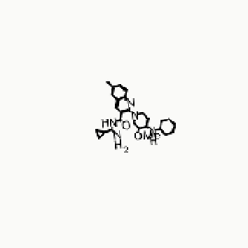 COC1CN(c2nc3ccc(C)cc3cc2C(=O)NC(N)C2CC2)CCC1NC1CCCCC1